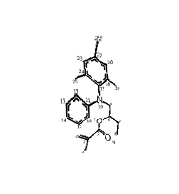 C=C(C)C(=O)OC(CC)CN(c1ccccc1)c1c(C)cc(C)cc1C